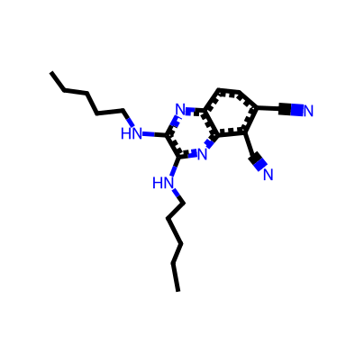 CCCCCNc1nc2ccc(C#N)c(C#N)c2nc1NCCCCC